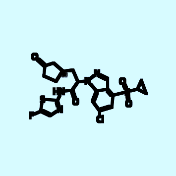 O=C1CC[C@H](CC(C(=O)Nc2ncc(F)s2)n2ncc3c(S(=O)(=O)C4CC4)cc(Cl)cc32)C1